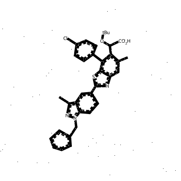 Cc1cc2nc(-c3ccc4c(c3)c(C)nn4Cc3ccccc3)sc2c(-c2ccc(Cl)cc2)c1C(OC(C)(C)C)C(=O)O